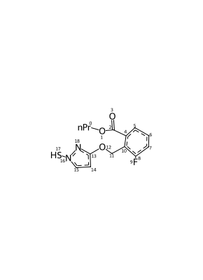 CCCOC(=O)c1cccc(F)c1COc1ccn(S)n1